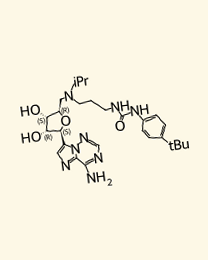 CC(C)N(CCCNC(=O)Nc1ccc(C(C)(C)C)cc1)C[C@H]1O[C@@H](c2cnc3c(N)ncnn23)[C@H](O)[C@@H]1O